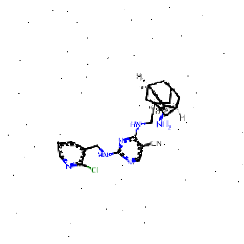 N#Cc1cnc(NCc2cccnc2Cl)nc1NC[C@]12CC3C[C@H](C1)[C@@H](N)[C@@H](C3)C2